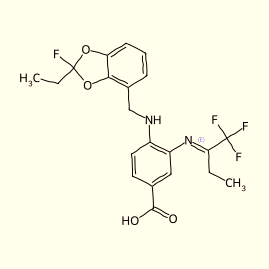 CC/C(=N\c1cc(C(=O)O)ccc1NCc1cccc2c1OC(F)(CC)O2)C(F)(F)F